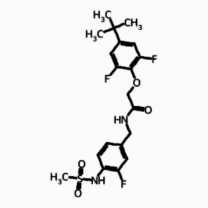 CC(C)(C)c1cc(F)c(OCC(=O)NCc2ccc(NS(C)(=O)=O)c(F)c2)c(F)c1